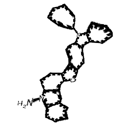 Nn1c2ccccc2c2c3oc4cc5c6ccccc6n(-c6ccccc6)c5cc4c3ccc21